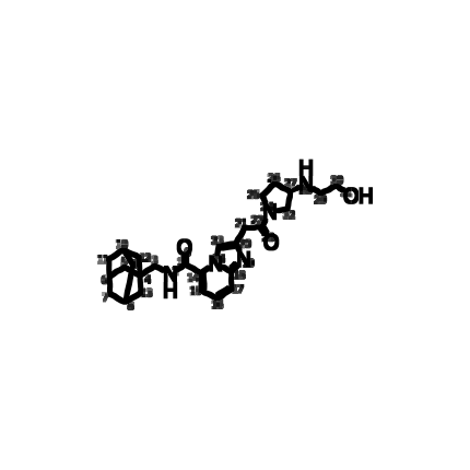 O=C(NCC12CC3CC(CC(C3)C1)C2)c1cccc2nc(CC(=O)N3CC[C@@H](NCCO)C3)cn12